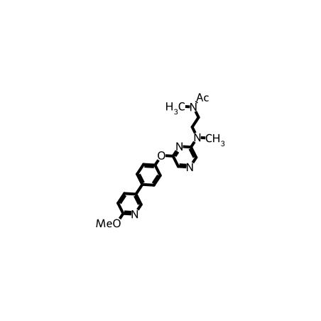 COc1ccc(-c2ccc(Oc3cncc(N(C)CCN(C)C(C)=O)n3)cc2)cn1